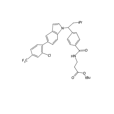 CC(C)CC(c1ccc(C(=O)NCCC(=O)OC(C)(C)C)cc1)n1ccc2cc(-c3ccc(C(F)(F)F)cc3Cl)ccc21